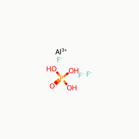 O=P(O)(O)O.[Al+3].[F-].[F-].[F-]